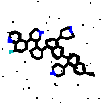 Cc1ccc2c(C3CCNCC3)c(-c3ccc4c(C5CCCCC5C5CNCCC5c5ccc(F)c6ncccc56)ccc(C5CCNCC5)c4c3)ccc2c1